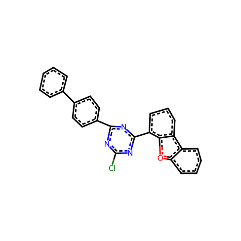 Clc1nc(-c2ccc(-c3ccccc3)cc2)nc(-c2cccc3c2oc2ccccc23)n1